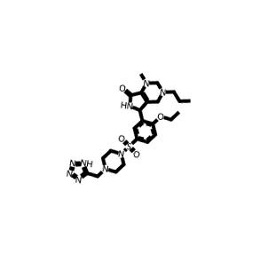 CCCN1CC2=C(C(=O)NC2c2cc(S(=O)(=O)N3CCN(Cc4nnn[nH]4)CC3)ccc2OCC)N(C)C1